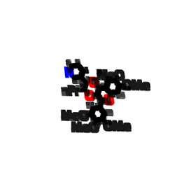 CCC[C](Cc1cccnc1)Oc1c(-c2cc(OC)c(OC)c(OC)c2)oc2cc(OC)cc(OC)c2c1=O